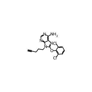 C#CCCCn1c(Oc2c(Cl)cccc2Cl)nc2c(N)ncnc21